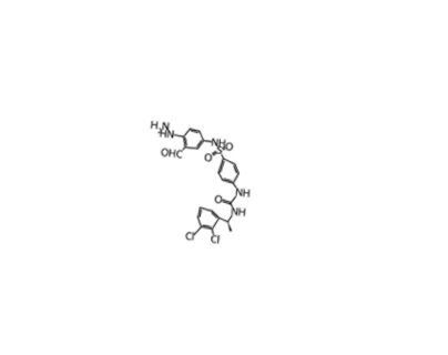 C[C@H](NC(=O)Nc1ccc(S(=O)(=O)Nc2ccc(NN)c(C=O)c2)cc1)c1cccc(Cl)c1Cl